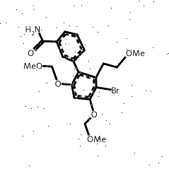 COCCc1c(Br)c(OCOC)cc(OCOC)c1-c1cccc(C(N)=O)c1